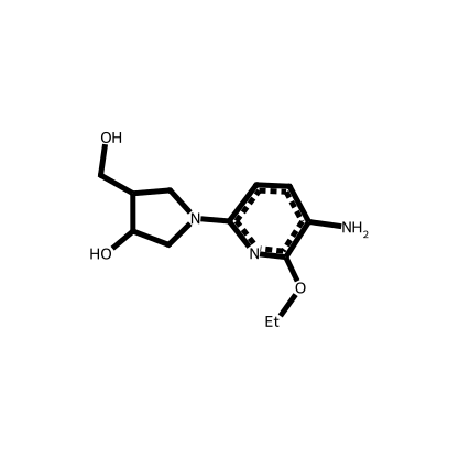 CCOc1nc(N2CC(O)C(CO)C2)ccc1N